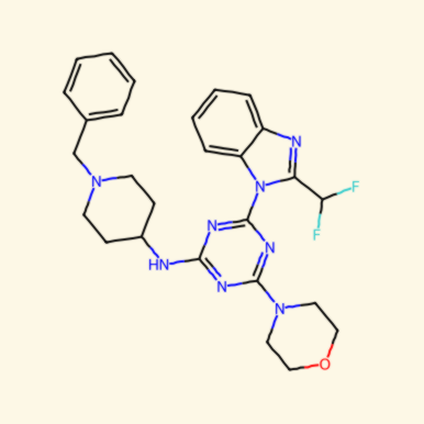 FC(F)c1nc2ccccc2n1-c1nc(NC2CCN(Cc3ccccc3)CC2)nc(N2CCOCC2)n1